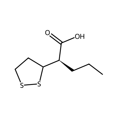 CCC[C@H](C(=O)O)C1CCSS1